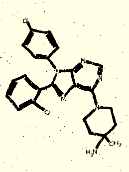 CC1(N)CCN(c2ncnc3c2nc(-c2ccccc2Cl)n3-c2ccc(Cl)cc2)CC1